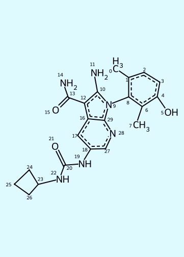 Cc1ccc(O)c(C)c1-n1c(N)c(C(N)=O)c2cc(NC(=O)NC3CCC3)cnc21